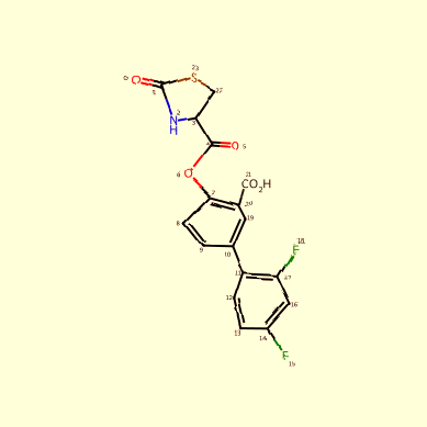 O=C1NC(C(=O)Oc2ccc(-c3ccc(F)cc3F)cc2C(=O)O)CS1